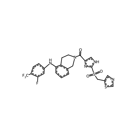 O=C(c1c[nH]c(S(=O)(=O)Cc2cncs2)n1)N1CCc2c(cccc2Nc2ccc(C(F)(F)F)c(F)c2)C1